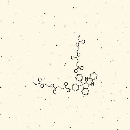 C=CC(=O)OCCOC(=O)CCC(=O)Oc1ccc(C2(c3ccc(OC(=O)CCC(=O)OCCOC(=O)C=C)cc3)c3ccccc3-c3nc4ccccc4nc32)cc1